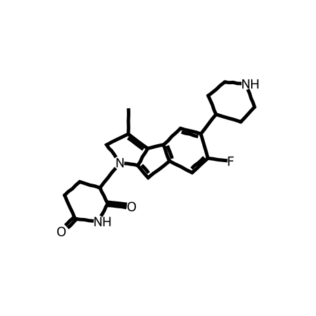 CC1=C2C(=Cc3cc(F)c(C4CCNCC4)cc32)N(C2CCC(=O)NC2=O)C1